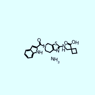 N.O=C(c1cc2ccccc2[nH]1)N1CCc2nc(NCC3(C(=O)O)CCC3)sc2C1